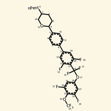 CCCCCC1CCC(c2ccc(-c3cc(F)c(C(F)(F)Oc4cc(F)c(OC(F)(F)F)c(F)c4)c(F)c3)cc2)OC1